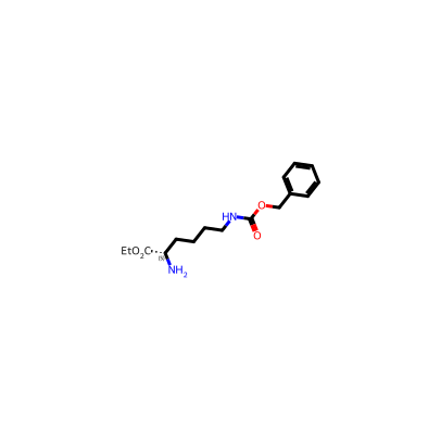 CCOC(=O)[C@@H](N)CCCCNC(=O)OCc1ccccc1